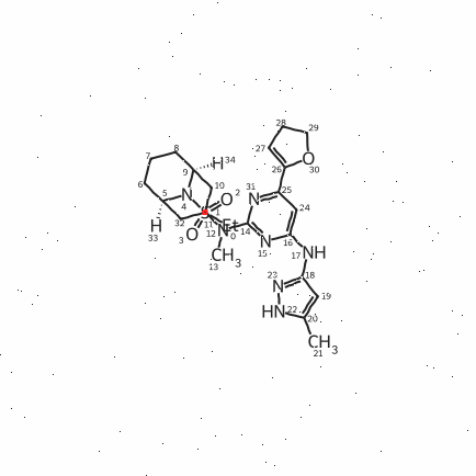 CCS(=O)(=O)N1[C@@H]2CCC[C@H]1CC(N(C)c1nc(Nc3cc(C)[nH]n3)cc(C3=CCCO3)n1)C2